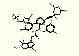 CC1CC(O)(C#Cc2ccc(-c3ccc(Cl)c4c(NS(C)(=O)=O)nn(C)c34)c([C@H](Cc3cc(F)cc(F)c3)NC(=O)Cn3nc(C(F)(F)F)c4c3C(F)(F)[C@H](C)C4)n2)CC(C)O1